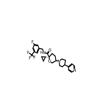 O=C(NCc1cc(F)cc(C(F)(F)F)c1)[C@@]1(C2CC2)CCC(N2CCC(c3ccncc3)CC2)CO1